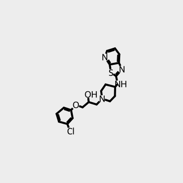 OC(COc1cccc(Cl)c1)CN1CCC(Nc2nc3cccnc3s2)CC1